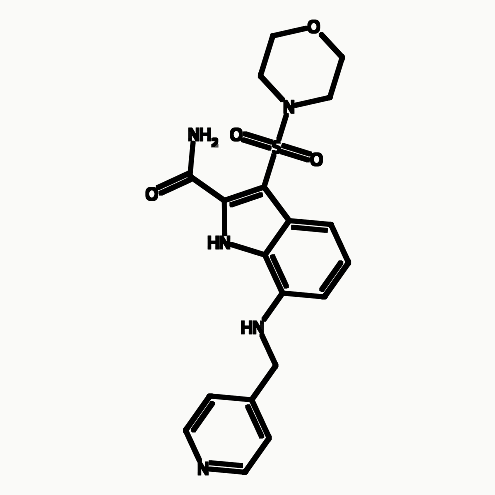 NC(=O)c1[nH]c2c(NCc3ccncc3)cccc2c1S(=O)(=O)N1CCOCC1